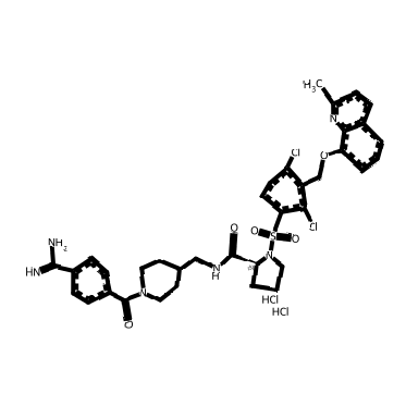 Cc1ccc2cccc(OCc3c(Cl)ccc(S(=O)(=O)N4CCC[C@H]4C(=O)NCC4CCN(C(=O)c5ccc(C(=N)N)cc5)CC4)c3Cl)c2n1.Cl.Cl